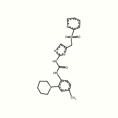 Cc1ccc(NC(=O)Nc2ncc(CS(=O)(=O)c3ccccn3)s2)c(N2CCCCC2)c1